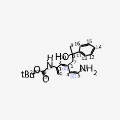 C=C(/C=C(\C=C/N)CC(C)(O)c1ccccc1)NC(=O)OC(C)(C)C